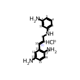 Cl.Nc1cccc(NC/C=C/c2cc(N)ccc2N)c1